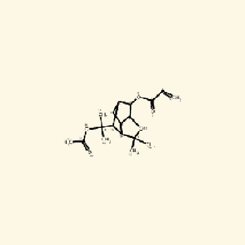 C=CC(=O)OC1C2CC3C1OC(C)(C)C3C2C(C)(C)OC(C)=O